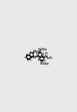 CCCNc1nc(NC)nc2c(N[C@@H]3c4ccccc4C[C@H]3O)nc(NC)nc12